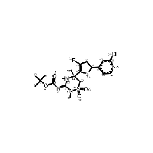 CN1/C(=N/C(=O)OC(C)(C)C)N[C@](C)(C2=C(F)CC(c3ccnc(Cl)c3)S2)CS1(=O)=O